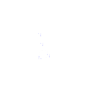 [CH2]CN1CCN(c2cncnc2)CC1